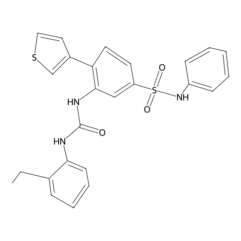 CCc1ccccc1NC(=O)Nc1cc(S(=O)(=O)Nc2ccccc2)ccc1-c1ccsc1